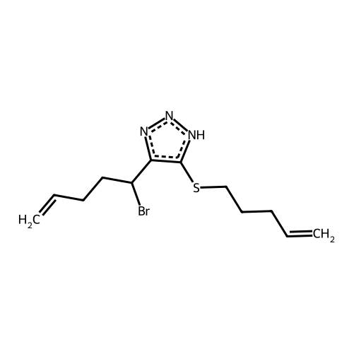 C=CCCCSc1[nH]nnc1C(Br)CCC=C